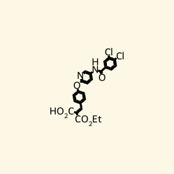 CCOC(=O)C(=Cc1ccc(Oc2ccc(NC(=O)c3ccc(Cl)c(Cl)c3)cn2)cc1)C(=O)O